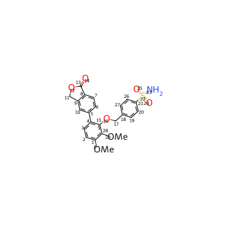 COc1ccc(-c2ccc3c(c2)COC3=O)c(OCc2ccc(S(N)(=O)=O)cc2)c1OC